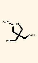 CNCC(COC=O)(CC(C)C)CC(C)C